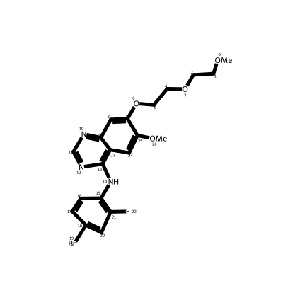 COCCOCCOc1cc2ncnc(Nc3ccc(Br)cc3F)c2cc1OC